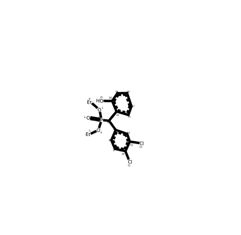 CCOP(=O)(OCC)C(c1ccc(Cl)c(Cl)c1)c1ccccc1O